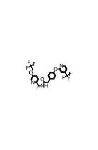 C[C@@H](NC(=O)Cc1ccc(Oc2cc(C(F)(F)F)ccn2)cc1)c1ccc(OCC(F)(F)F)cn1